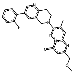 COCc1cc(=O)n2nc(N3CCc4ncc(-c5ccccc5F)cc4C3)c(C)cc2n1